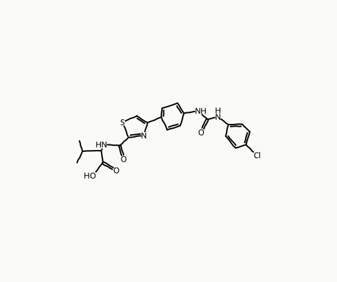 CC(C)[C@H](NC(=O)c1nc(-c2ccc(NC(=O)Nc3ccc(Cl)cc3)cc2)cs1)C(=O)O